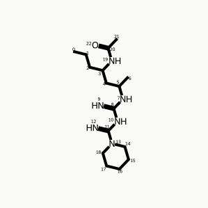 CCCC(CC(C)NC(=N)NC(=N)N1CCCCC1)NC(C)=O